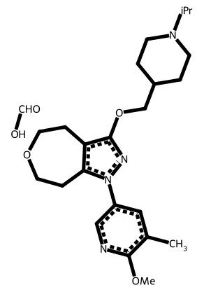 COc1ncc(-n2nc(OCC3CCN(C(C)C)CC3)c3c2CCOCC3)cc1C.O=CO